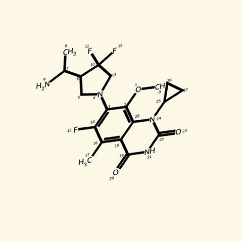 COc1c(N2CC(C(C)N)C(F)(F)C2)c(F)c(C)c2c(=O)[nH]c(=O)n(C3CC3)c12